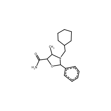 CC1C(C(N)=O)OC(c2ccccc2)N1CC1CCCCC1